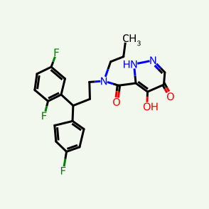 CCCN(CCC(c1ccc(F)cc1)c1cc(F)ccc1F)C(=O)c1[nH]ncc(=O)c1O